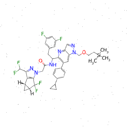 C[Si](C)(C)CCOCn1ncc2nc(C(Cc3cc(F)cc(F)c3)NC(=O)Cn3nc(C(F)F)c4c3C(F)(F)[C@@H]3C[C@H]43)c(-c3ccc(C4CC4)cc3)cc21